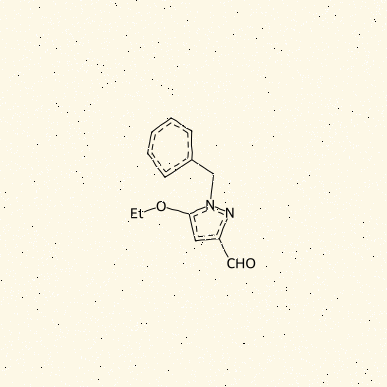 CCOc1cc(C=O)nn1Cc1ccccc1